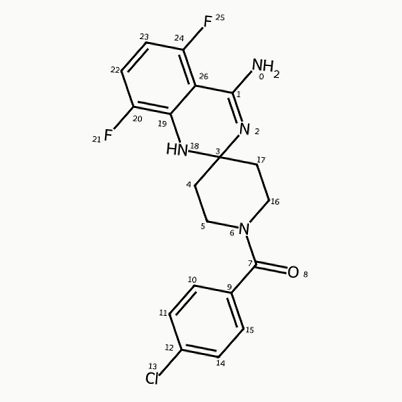 NC1=NC2(CCN(C(=O)c3ccc(Cl)cc3)CC2)Nc2c(F)ccc(F)c21